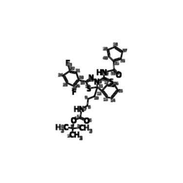 CC(C)(C)OC(=O)NCCCC1(c2ccccc2)SC(c2cc(F)ccc2F)=NN1C(=S)NC(=O)c1ccccc1